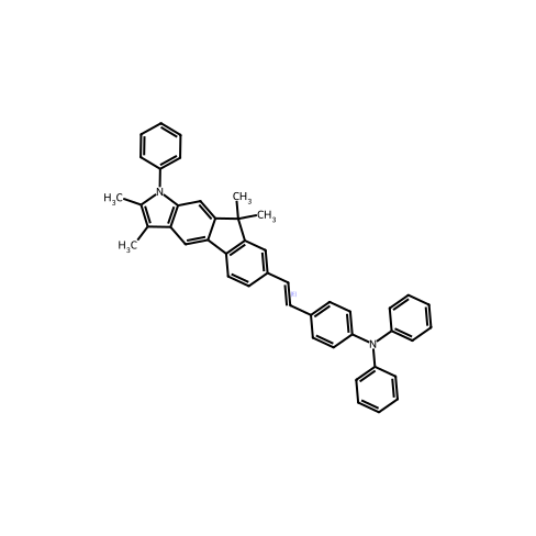 Cc1c(C)n(-c2ccccc2)c2cc3c(cc12)-c1ccc(/C=C/c2ccc(N(c4ccccc4)c4ccccc4)cc2)cc1C3(C)C